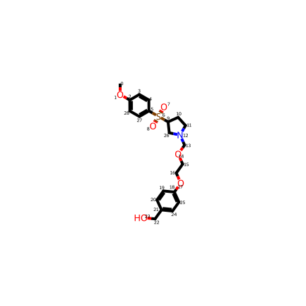 COc1ccc(S(=O)(=O)C2CCN(COCCOc3ccc(CO)cc3)C2)cc1